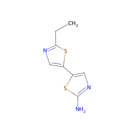 CCc1ncc(-c2cnc(N)s2)s1